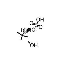 CC(C)(C)O.CO.O.O=S(=O)(O)O